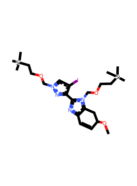 COC1C=Cc2nc(-c3nn(COCC[Si](C)(C)C)cc3I)n(COCC[Si](C)(C)C)c2C1